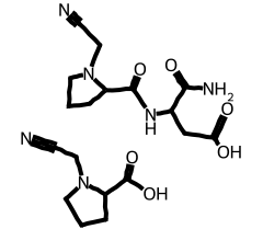 N#CCN1CCCC1C(=O)NC(CC(=O)O)C(N)=O.N#CCN1CCCC1C(=O)O